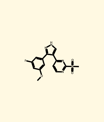 COc1cc(F)cc(-c2n[nH]cc2-c2ccnc(S(C)(=O)=O)n2)c1